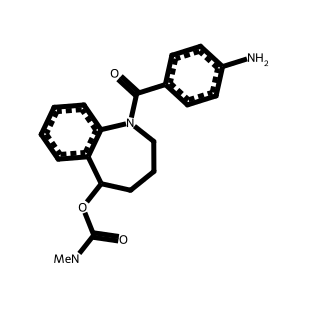 CNC(=O)OC1CCCN(C(=O)c2ccc(N)cc2)c2ccccc21